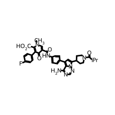 CC(C)C(=O)N1CCC(c2cc(-c3ccc(NC(=O)c4cn(C)c(C(=O)O)c(-c5ccc(F)cc5)c4=O)cc3)c3c(N)ncnn23)CC1